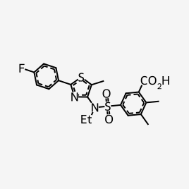 CCN(c1nc(-c2ccc(F)cc2)sc1C)S(=O)(=O)c1cc(C)c(C)c(C(=O)O)c1